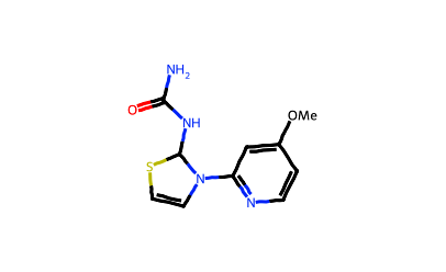 COc1ccnc(N2C=CSC2NC(N)=O)c1